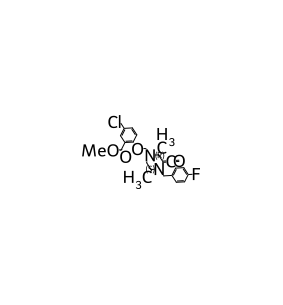 COC(=O)c1cc(Cl)ccc1OCN1C[C@H](C)N(Cc2ccc(F)cc2)C(=C=O)[C@H]1C